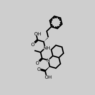 CC(N[C@@H](CCc1ccccc1)C(=O)O)C(=O)N1C2CCCCC2CC[C@H]1C(=O)O